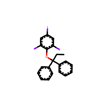 CCC(Oc1c(I)cc(I)cc1I)(c1ccccc1)c1ccccc1